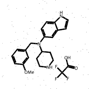 COc1cccc(CN(c2ccc3[nH]ccc3c2)C2CCNCC2)c1.O=C(O)C(F)(F)F